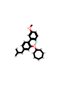 COc1ccc(F)c(-c2ccc(CC(C)C)cc2OC2CCCCCC2)c1